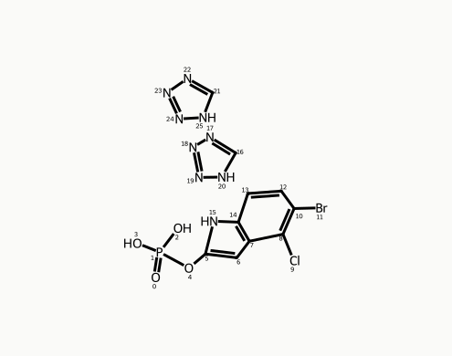 O=P(O)(O)Oc1cc2c(Cl)c(Br)ccc2[nH]1.c1nnn[nH]1.c1nnn[nH]1